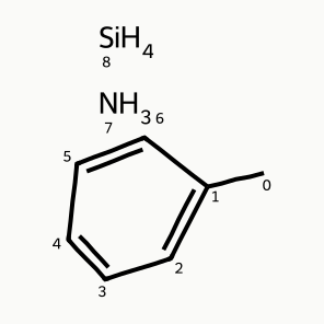 Cc1ccccc1.N.[SiH4]